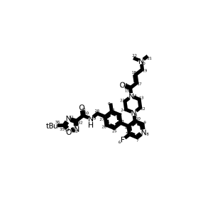 Cc1cc(-c2c(F)cncc2N2CCN(C(=O)C=CCN(C)C)CC2)ccc1CNC(=O)c1noc(C(C)(C)C)n1